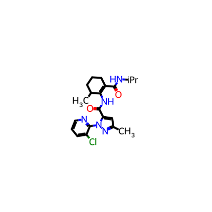 Cc1cc(C(=O)NC2=C(C(=O)NC(C)C)CCCC2C)n(-c2ncccc2Cl)n1